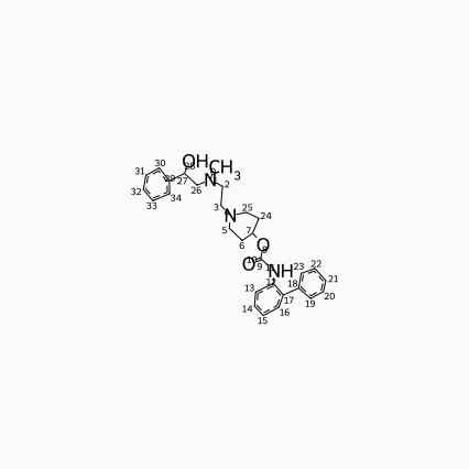 CN(CCN1CCC(OC(=O)Nc2ccccc2-c2ccccc2)CC1)CC(O)c1ccccc1